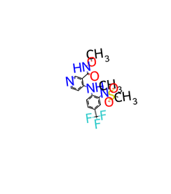 CONC(=O)c1cnccc1Nc1ccc(C(F)(F)F)cc1N(C)S(C)(=O)=O